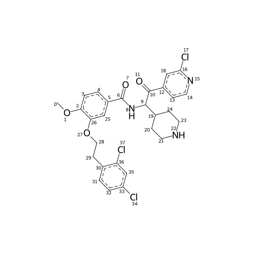 COc1ccc(C(=O)NC(C(=O)c2ccnc(Cl)c2)C2CCNCC2)cc1OCCc1ccc(Cl)cc1Cl